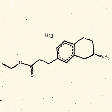 CCOC(=O)CCc1ccc2c(c1)C[C@H](N)CC2.Cl